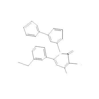 N#Cc1c(C(F)(F)F)cc(-c2cccc(CI)c2)n(-c2cccc(-c3ccccc3)c2)c1=O